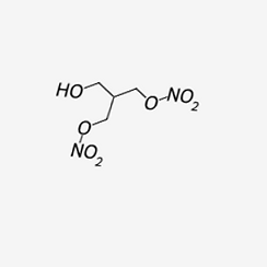 O=[N+]([O-])OCC(CO)CO[N+](=O)[O-]